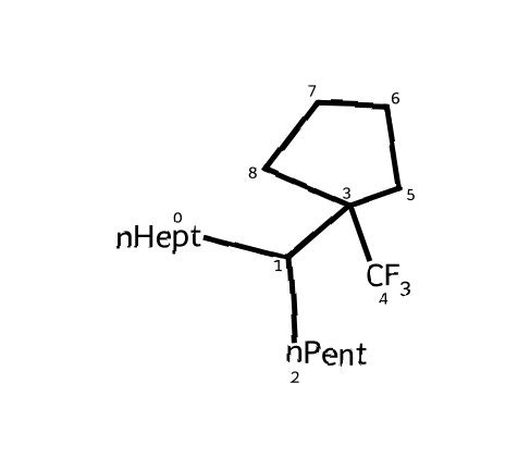 CCCCCCCC(CCCCC)C1(C(F)(F)F)CCCC1